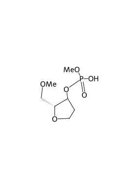 COC[C@H]1OCCC1OP(=O)(O)OC